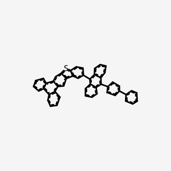 c1ccc(-c2ccc(-c3c4ccccc4c(-c4ccc5sc6cc7c8ccccc8c8ccccc8c7cc6c5c4)c4ccccc34)cc2)cc1